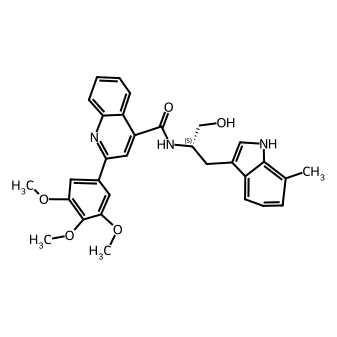 COc1cc(-c2cc(C(=O)N[C@H](CO)Cc3c[nH]c4c(C)cccc34)c3ccccc3n2)cc(OC)c1OC